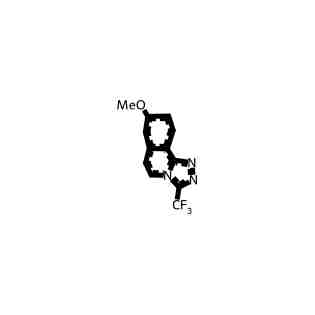 COc1ccc2c(ccn3c(C(F)(F)F)nnc23)c1